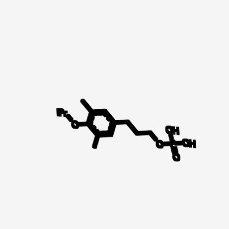 Cc1cc(CCCOP(=O)(O)O)cc(C)c1OC(C)C